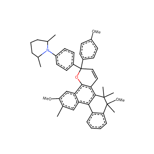 COc1ccc(C2(c3ccc(N4C(C)CCCC4C)cc3)C=Cc3c4c(c5cc(C)c(OC)cc5c3O2)-c2ccccc2C(C)(OC)C4(C)C)cc1